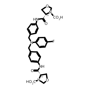 O=C(Nc1ccc(CN(Cc2ccc(NC(=O)[C@@H]3COCN3C(=O)O)cc2)c2ccc(F)cc2)cc1)[C@@H]1COCN1C(=O)O